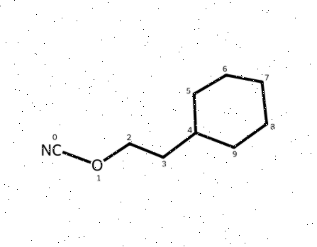 N#COCCC1CCCCC1